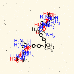 CC(C)CC(NC(=O)[C@H](N)NC(=O)[C@@H]1C[C@@H](N)CN1C(=O)C(CCCCN)NC(=O)c1ccc(-c2ccc(CCC(C)C(C)CCc3ccc(-c4ccc(C(=O)N(C)[C@@H](CCCCN)C(=O)N[C@H](C(=O)N[C@@H](N)C(=O)N[C@@H](CCCCN)C(=O)N[C@@H](N)B(O)O)[C@@H](C)O)cc4)cc3)cc2)cc1)C(=O)N[C@@H](N)B(O)O